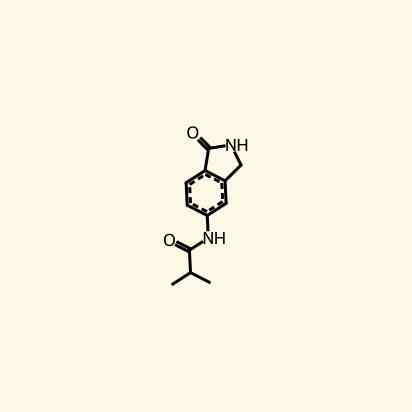 CC(C)C(=O)Nc1ccc2c(c1)CNC2=O